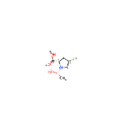 CB(O)N1C[C@H](F)C[C@H]1C(=O)O